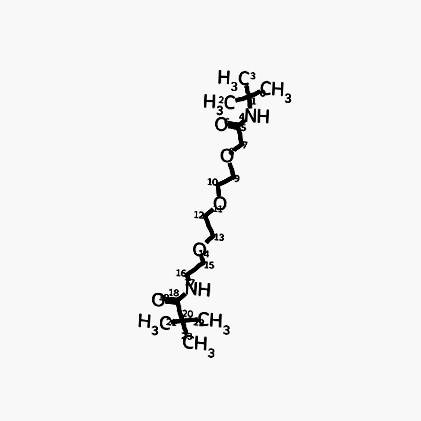 CC(C)(C)NC(=O)COCCOCCOCCNC(=O)C(C)(C)C